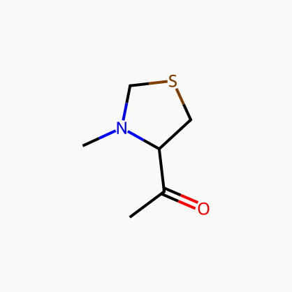 CC(=O)C1CSCN1C